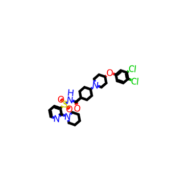 O=C(NS(=O)(=O)c1cccnc1N1CCCCC1)C1CCC(N2CCC(Oc3ccc(Cl)c(Cl)c3)CC2)CC1